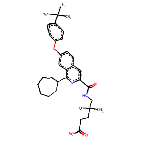 CC(C)(CCC(=O)O)CNC(=O)c1cc2ccc(Oc3ccc(C(C)(C)C)cc3)cc2c(C2CCCCCC2)n1